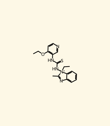 CCOc1ccncc1NC(=S)N[N+]1(CC)C(C)=Nc2ccccc21